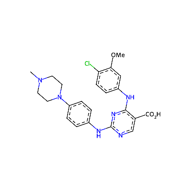 COc1cc(Nc2nc(Nc3ccc(N4CCN(C)CC4)cc3)ncc2C(=O)O)ccc1Cl